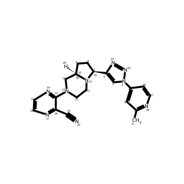 Cc1cc(-n2cc([C@@H]3CC[C@@H]4CN(c5nccnc5C#N)CCN43)nn2)ccn1